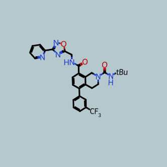 CC(C)(C)NC(=O)N1CCc2c(-c3cccc(C(F)(F)F)c3)ccc(C(=O)NCc3nc(-c4ccccn4)no3)c2C1